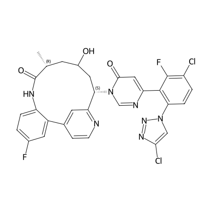 C[C@@H]1CC(O)C[C@H](n2cnc(-c3c(-n4cc(Cl)nn4)ccc(Cl)c3F)cc2=O)c2cc(ccn2)-c2cc(F)ccc2NC1=O